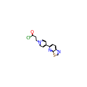 O=C(Cl)CC[n+]1ccc(-c2ccc3ncsc3n2)cc1